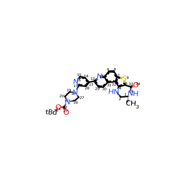 C[C@@H]1CNc2c(sc3ccc4nc(-c5ccnc(N6CCN(C(=O)OC(C)(C)C)CC6)c5)ccc4c23)C(=O)N1